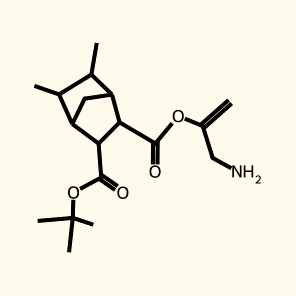 C=C(CN)OC(=O)C1C2CC(C(C)C2C)C1C(=O)OC(C)(C)C